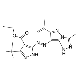 C=C(C)c1nn2c(C)n[nH]c2c1N=Nc1[nH]nc(C(C)(C)C)c1C(=O)OCC